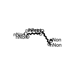 CCCCCCCCCOC(CCCCC=CC(OCCCCC)OC(C=CCCCCC(OCCCCCCCCC)OCCCCCCCCC)OCCCCC)OCCCCCCCCC